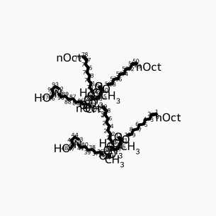 CCCCCCCC/C=C\CCCCCCCCOC(=O)C(C)(C)CC(OCCCCCCCC/C=C\CCCCCCCC)O[Si](C)(C)OCCCCCCN1CCCC1CO.CCCCCCCC/C=C\CCCCCCCCOC(=O)C(C)(C)CC(OCCCCCCCC/C=C\CCCCCCCC)O[Si](C)(C)OCCCCCCN1CCCC1CO